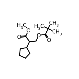 COC(=O)C(COC(=O)C(C)(C)C)C1CCCC1